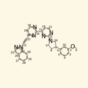 COc1cccc(C2CCN(c3nccc(-c4nccc(C#Cn5ncc6ccccc65)n4)n3)C2)c1